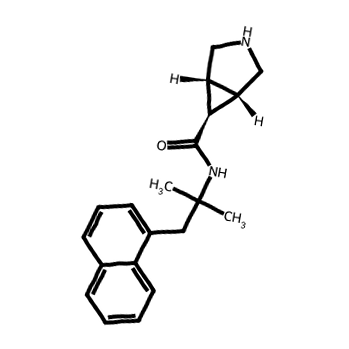 CC(C)(Cc1cccc2ccccc12)NC(=O)[C@H]1[C@@H]2CNC[C@@H]21